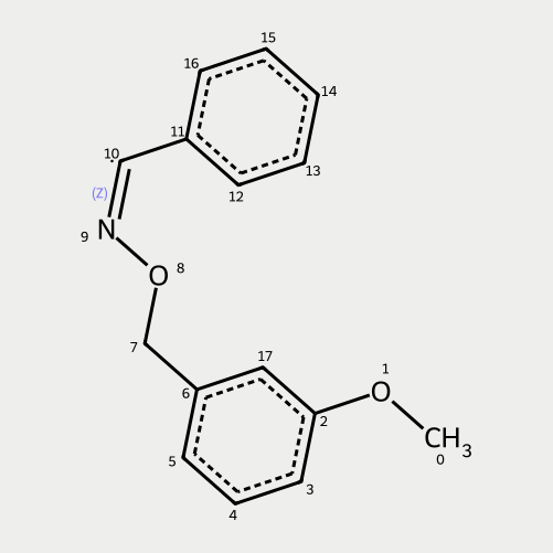 COc1cccc(CO/N=[C]\c2ccccc2)c1